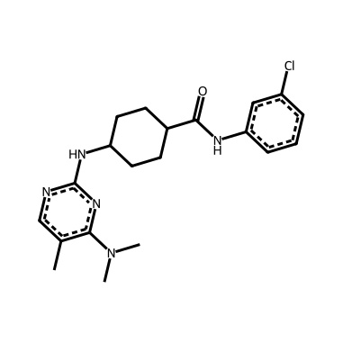 Cc1cnc(NC2CCC(C(=O)Nc3cccc(Cl)c3)CC2)nc1N(C)C